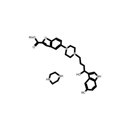 C1CNCCN1.COC(=O)c1cc2cc(N3CCN(CCCC(O)c4c[nH]c5ccc(C#N)cc45)CC3)ccc2o1